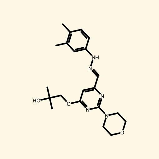 Cc1ccc(NN=Cc2cc(OCC(C)(C)O)nc(N3CCOCC3)n2)cc1C